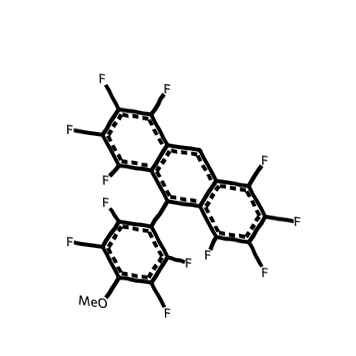 COc1c(F)c(F)c(-c2c3c(F)c(F)c(F)c(F)c3cc3c(F)c(F)c(F)c(F)c23)c(F)c1F